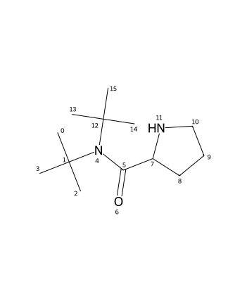 CC(C)(C)N(C(=O)C1CCCN1)C(C)(C)C